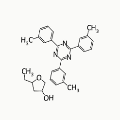 CCC1CC(O)CO1.Cc1cccc(-c2nc(-c3cccc(C)c3)nc(-c3cccc(C)c3)n2)c1